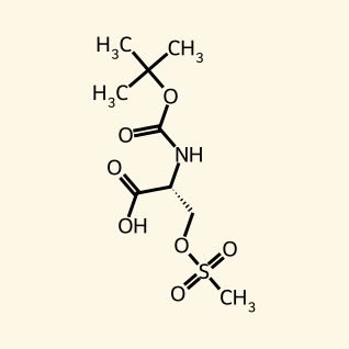 CC(C)(C)OC(=O)N[C@H](COS(C)(=O)=O)C(=O)O